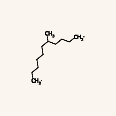 [CH2]CCCCCC(C)CCC[CH2]